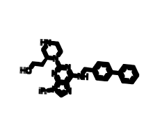 CC(C)n1cnc2c(NCc3ccc(-c4ccccc4)cc3)nc(N3CCNC[C@@H]3CCO)nc21